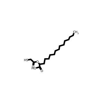 CCCCCCCCCCCCCCC(OC(=O)CS)C(=O)O